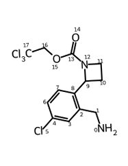 NCc1cc(Cl)ccc1C1CCN1C(=O)OCC(Cl)(Cl)Cl